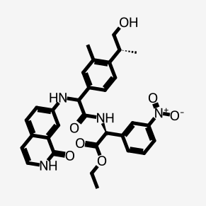 CCOC(=O)[C@@H](NC(=O)C(Nc1ccc2cc[nH]c(=O)c2c1)c1ccc([C@@H](C)CO)c(C)c1)c1cccc([N+](=O)[O-])c1